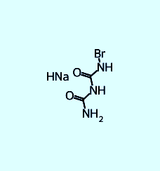 NC(=O)NC(=O)NBr.[NaH]